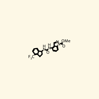 COC(=O)n1ncc2c(NC(=O)NC3CCc4c3cccc4C(F)(F)F)cccc21